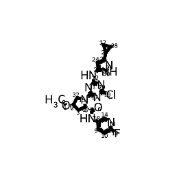 CO[C@H]1C[C@@H](C(=O)Nc2ccc(F)nc2)N(c2nc(Cl)nc(Nc3cc(C4CC4)n[nH]3)n2)C1